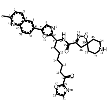 Cc1ccc2cc(-c3cnc(C(CCCCCC(=O)c4ncco4)NC(=O)C4=NOC5(CCNCC5)C4)o3)ccc2n1